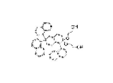 OCCOC1(OCCO)C=CC2=CC(c3cccc4ccccc34)(c3cccc4ccccc34)C=CC2=C1c1cccc2ccccc12